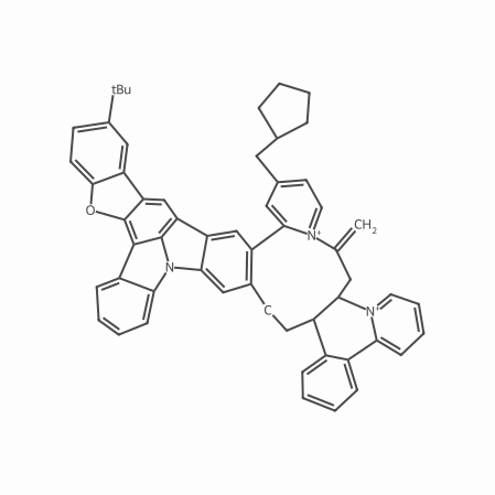 C=C1CC2C(CCc3cc4c(cc3-c3cc(CC5CCCC5)cc[n+]31)c1cc3c5cc(C(C)(C)C)ccc5oc3c3c5ccccc5n4c13)c1ccccc1-c1cccc[n+]12